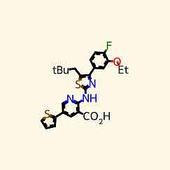 CCOc1cc(-c2nc(Nc3ncc(-c4cccs4)cc3C(=O)O)sc2CC(C)(C)C)ccc1F